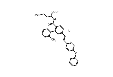 CSCC[C@H](NC(=O)c1ccc(C=Cc2ccc(Oc3ccccc3)nn2)cc1-c1ccccc1C)C(=O)[O-].[Li+]